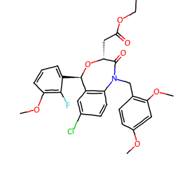 CCOC(=O)C[C@H]1O[C@H](c2cccc(OC)c2F)c2cc(Cl)ccc2N(Cc2ccc(OC)cc2OC)C1=O